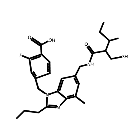 CCCc1nc2c(C)cc(CNC(=O)C(CS)C(C)CC)cc2n1Cc1ccc(C(=O)O)c(F)c1